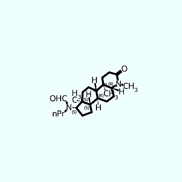 CCCN(C=O)[C@H]1CC[C@H]2[C@@H]3CC[C@H]4N(C)C(=O)CC[C@]4(C)[C@H]3CC[C@]12C